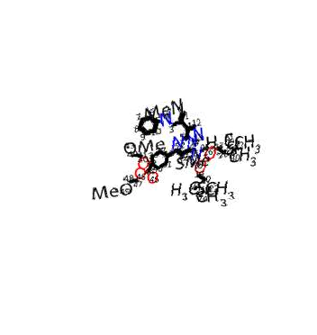 CN/C=C(\C=N\c1ccccc1)c1cnn2c(N(COCC[Si](C)(C)C)COCC[Si](C)(C)C)c(SC)c(C3CCC(OCCOC)(C(=O)OCCOC)CC3)nc12